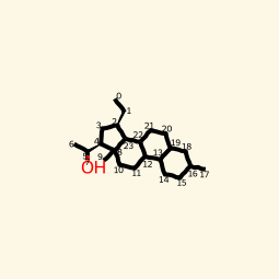 CC[C@@H]1C[C@H](C(C)O)C2(C)CCC3C4CCC(C)CC4CCC3C12